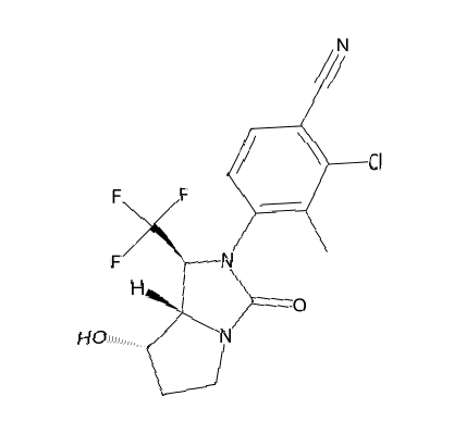 Cc1c(N2C(=O)N3CC[C@H](O)[C@@H]3[C@H]2C(F)(F)F)ccc(C#N)c1Cl